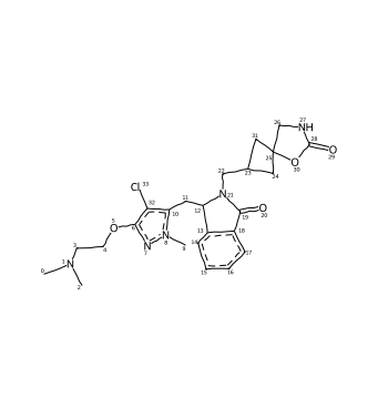 CN(C)CCOc1nn(C)c(CC2c3ccccc3C(=O)N2CC2CC3(CNC(=O)O3)C2)c1Cl